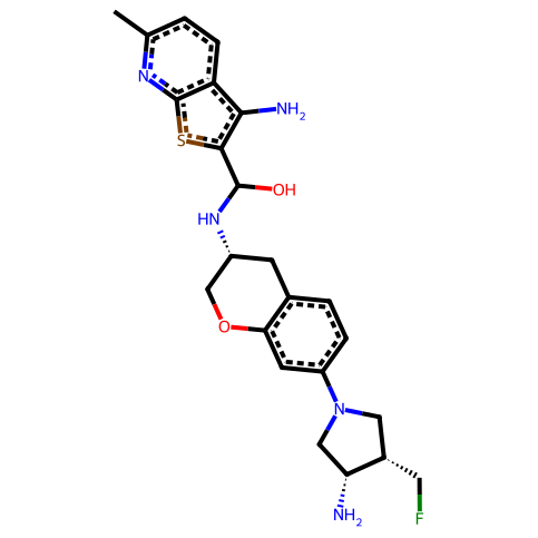 Cc1ccc2c(N)c(C(O)N[C@H]3COc4cc(N5C[C@H](CF)[C@H](N)C5)ccc4C3)sc2n1